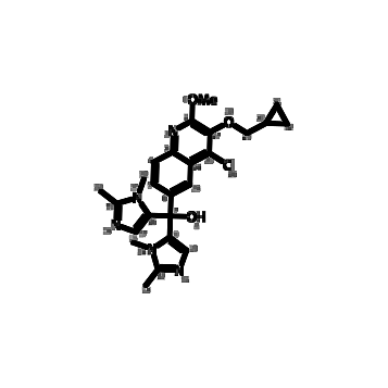 COc1nc2ccc(C(O)(c3cnc(C)n3C)c3cnc(C)n3C)cc2c(Cl)c1OCC1CC1